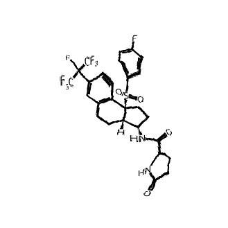 O=C1CCC(C(=O)N[C@@H]2CC[C@@]3(S(=O)(=O)c4ccc(F)cc4)c4ccc(C(F)(C(F)(F)F)C(F)(F)F)cc4CC[C@@H]23)N1